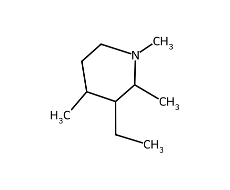 CCC1C(C)CCN(C)C1C